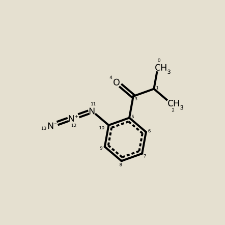 CC(C)C(=O)c1ccccc1N=[N+]=[N-]